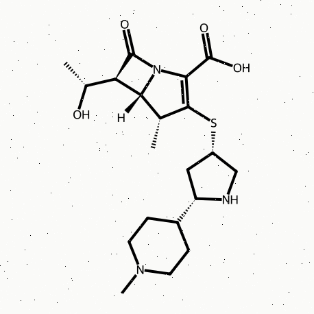 C[C@@H](O)[C@H]1C(=O)N2C(C(=O)O)=C(S[C@@H]3CN[C@H](C4CCN(C)CC4)C3)[C@H](C)[C@H]12